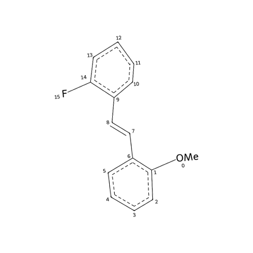 COc1ccccc1C=Cc1ccccc1F